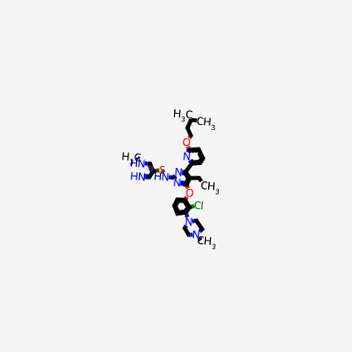 CCc1c(Oc2cccc(N3CCN(C)CC3)c2Cl)nc(NS/C(C=N)=C/NC)nc1-c1cccc(OCCC(C)C)n1